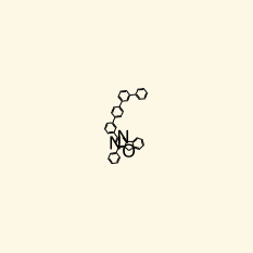 c1ccc(-c2cccc(-c3ccc(-c4cccc(-c5nc(-c6ccccc6)c6oc7ccccc7c6n5)c4)cc3)c2)cc1